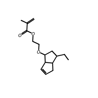 C=C(C)C(=O)OCCOC1CC(CC)C2CC=CC12